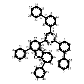 c1ccc(-c2cccc(-c3nc(-c4cccc(-c5ccccc5)c4)nc(-c4ccc(-c5ccccc5)c5oc6c(-c7ccccc7)cccc6c45)n3)c2)cc1